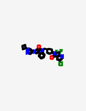 O=C(N[C@H]1CC[C@H](CN2C(=O)C3(CN(c4cnn(C5CCC5)c4)C3)c3ccccc32)CC1)c1cc(Cl)cnc1C(F)F